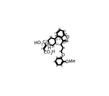 COc1ccccc1OCCCc1noc2cccc(C3CCNCC3)c12.O=C(O)/C=C/C(=O)O